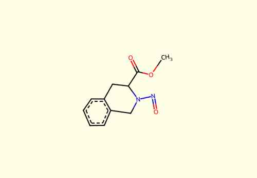 COC(=O)C1Cc2ccccc2CN1N=O